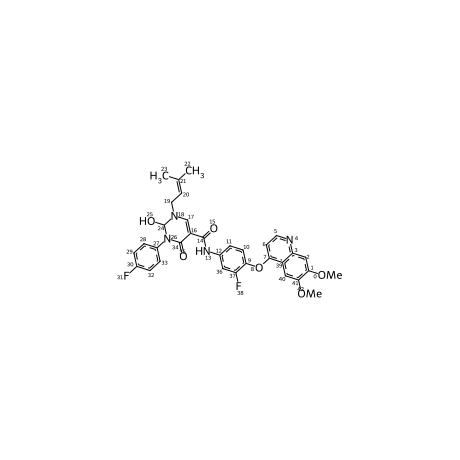 COc1cc2nccc(Oc3ccc(NC(=O)C4=CN(CC=C(C)C)C(O)N(c5ccc(F)cc5)C4=O)cc3F)c2cc1OC